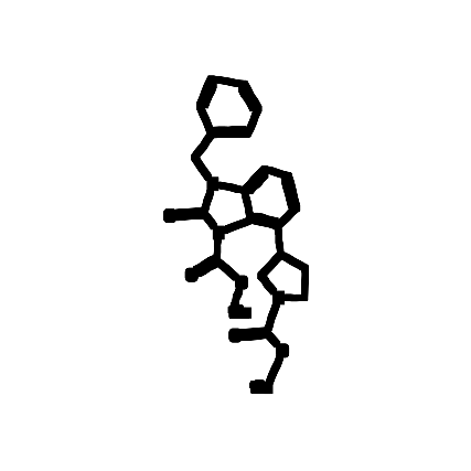 CC(C)(C)OC(=O)N1CCC(c2cccc3c2n(C(=O)OC(C)(C)C)c(=O)n3Cc2ccccc2)C1